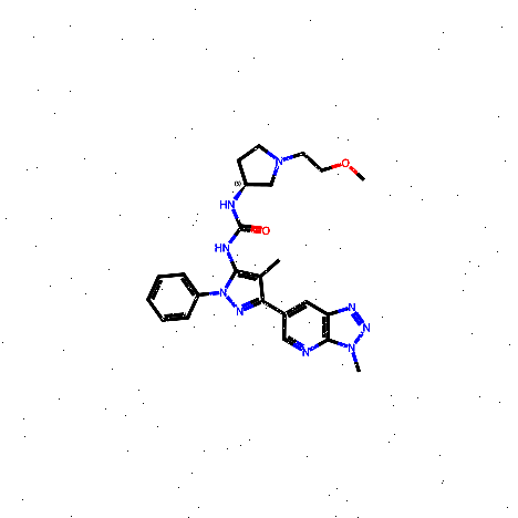 COCCN1CC[C@H](NC(=O)Nc2c(C)c(-c3cnc4c(c3)nnn4C)nn2-c2ccccc2)C1